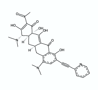 CC(=O)C1=C(O)[C@@H](N(C)C)[C@@H]2C[C@@H]3Cc4c(N(C)C)cc(C#Cc5ccccn5)c(O)c4C(=O)C3=C(O)[C@]2(O)C1=O